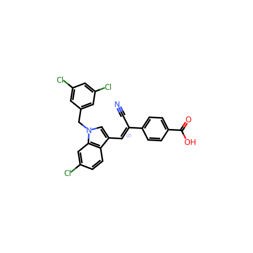 N#C/C(=C\c1cn(Cc2cc(Cl)cc(Cl)c2)c2cc(Cl)ccc12)c1ccc(C(=O)O)cc1